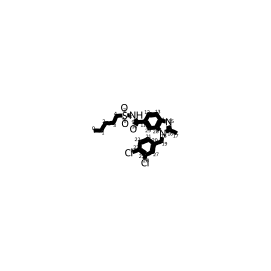 CCCCCS(=O)(=O)NC(=O)c1ccc2nc(C)n(Cc3ccc(Cl)c(Cl)c3)c2c1